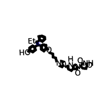 CC/C(=C(\c1ccc(O)cc1)c1ccc(OCCCCCN2CCN(C3CCC4C(=O)N(C5CCC(=O)NC5=O)CC4N3)CC2)cc1)c1ccccc1